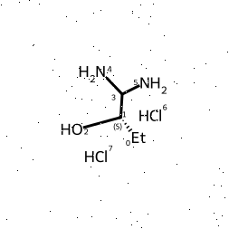 CC[C@H](O)C(N)N.Cl.Cl